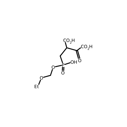 CCOCOP(=O)(O)CC(C(=O)O)C(=O)C(=O)O